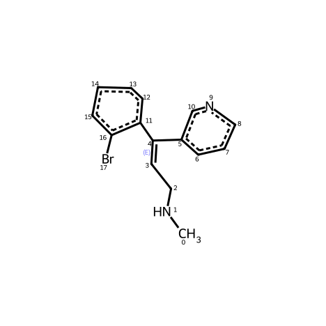 CNC/C=C(\c1cccnc1)c1ccccc1Br